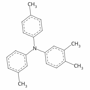 Cc1ccc(N(c2cccc(C)c2)c2ccc(C)c(C)c2)cc1